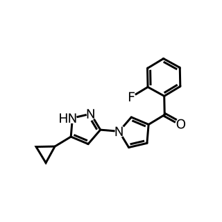 O=C(c1ccn(-c2cc(C3CC3)[nH]n2)c1)c1ccccc1F